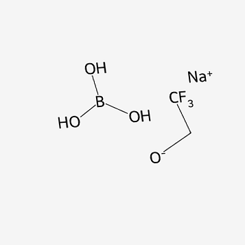 OB(O)O.[Na+].[O-]CC(F)(F)F